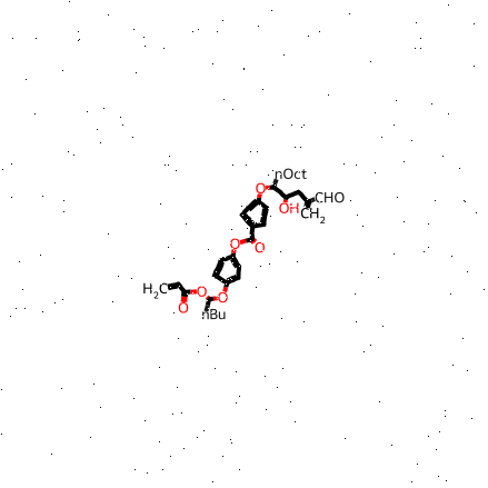 C=CC(=O)OC(CCCC)Oc1ccc(OC(=O)c2ccc(OC(CCCCCCCC)C(O)CC(=C)C=O)cc2)cc1